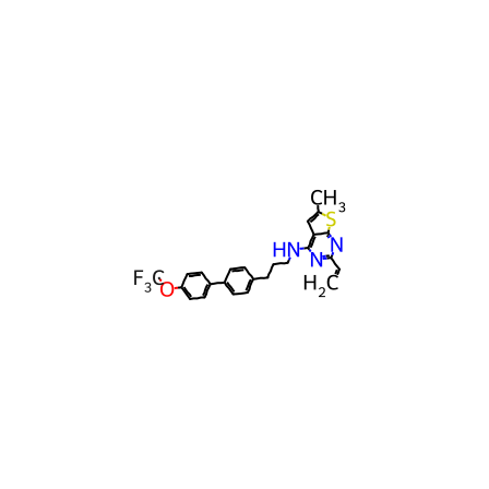 C=Cc1nc(NCCCc2ccc(-c3ccc(OC(F)(F)F)cc3)cc2)c2cc(C)sc2n1